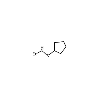 CCNSC1CCCC1